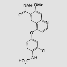 CNC(=O)c1cc2c(Oc3ccc(NC(=O)O)c(Cl)c3)ccnc2cc1OC